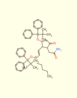 CCCCC[C@@H](C=CC1C(O[Si](c2ccccc2)(c2ccccc2)C(C)(C)C)CC(=O)C1CC(N)=O)O[Si](c1ccccc1)(c1ccccc1)C(C)(C)C